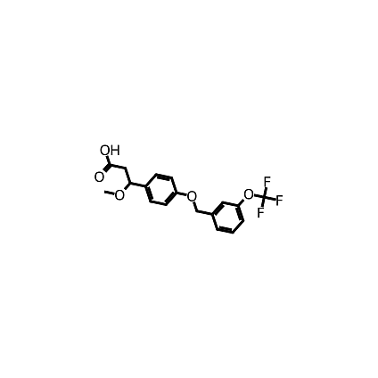 COC(CC(=O)O)c1ccc(OCc2cccc(OC(F)(F)F)c2)cc1